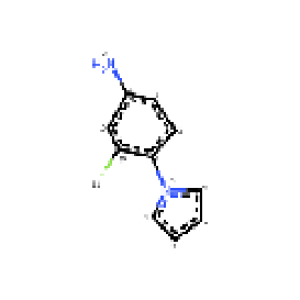 Nc1ccc(-n2cccc2)c(F)c1